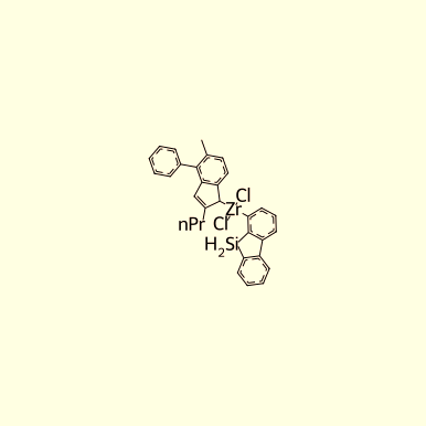 CCCC1=Cc2c(ccc(C)c2-c2ccccc2)[CH]1[Zr]([Cl])([Cl])[c]1cccc2c1[SiH2]c1ccccc1-2